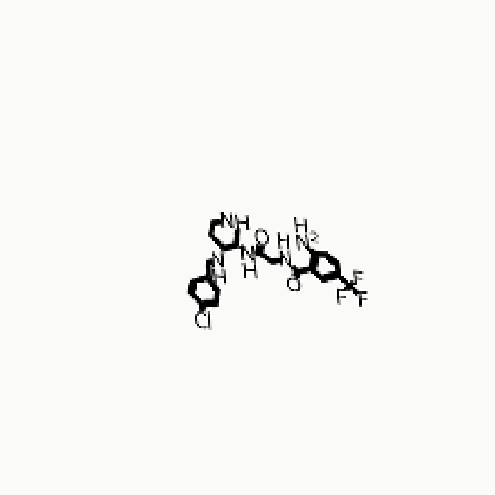 Nc1ccc(C(F)(F)F)cc1C(=O)NCC(=O)N[C@H]1CNCC[C@H]1NCc1ccc(Cl)cc1